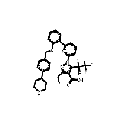 CCc1nn(-c2cccc(-c3ccccc3OCc3ccc(C4CCNCC4)cc3)n2)c(C(F)(F)C(F)(F)F)c1C(=O)O